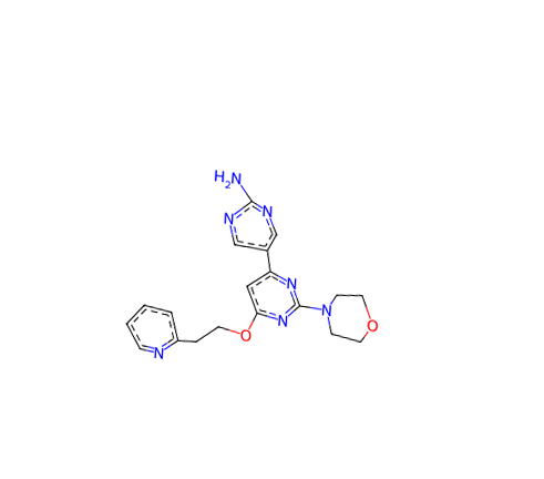 Nc1ncc(-c2cc(OCCc3ccccn3)nc(N3CCOCC3)n2)cn1